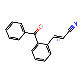 N#C/C=C/c1ccccc1C(=O)c1ccccc1